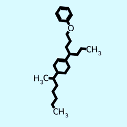 CCCCCC(C)C1CC=C(C(CCC)CCCOc2ccccc2)CC1